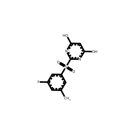 Cc1cc(F)cc(S(=O)(=O)c2nc(O)cc(O)n2)c1